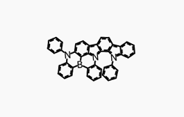 c1ccc(N2c3ccccc3B3c4ccccc4-n4c5c3c2ccc5c2ccc3c5ccccc5n(-c5ccccc5)c3c24)cc1